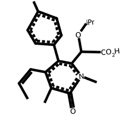 C/C=C\c1c(-c2ccc(C)cc2)c(C(OC(C)C)C(=O)O)n(C)c(=O)c1C